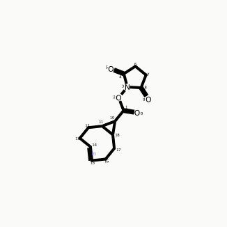 O=C(ON1C(=O)CCC1=O)C1C2CC/C=C/CCC21